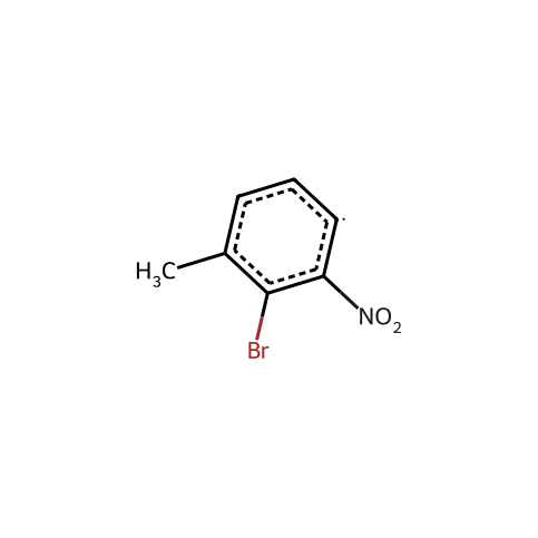 Cc1cc[c]c([N+](=O)[O-])c1Br